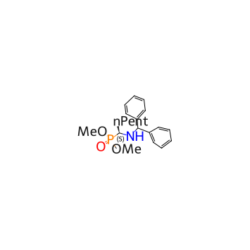 CCCCC[C@@H](NC(c1ccccc1)c1ccccc1)P(=O)(OC)OC